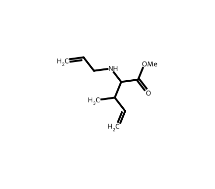 C=CCNC(C(=O)OC)C(C)C=C